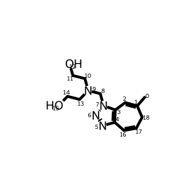 CC1=Cc2c(nnn2CN(CCO)CCO)C=CC1